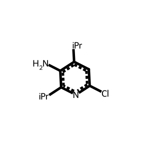 CC(C)c1cc(Cl)nc(C(C)C)c1N